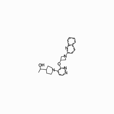 CC(O)C1CCN(c2ccnnc2OC2CN(c3ccc4ccccc4n3)C2)CC1